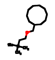 CC(C)(C)[Si](C)(C)CCOCC1CCCCCCCCC1